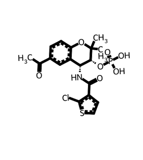 CC(=O)c1ccc2c(c1)[C@@H](NC(=O)c1ccsc1Cl)[C@@H](OP(=O)(O)O)C(C)(C)O2